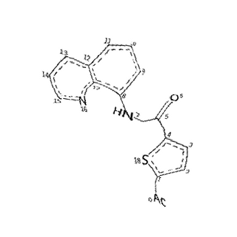 CC(=O)c1ccc(C(=O)Nc2cccc3cccnc23)s1